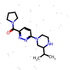 CC(C)C1CN(c2ccc(C(=O)N3CCCC3)nn2)CCN1